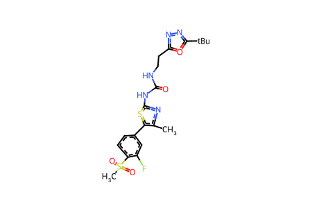 Cc1nc(NC(=O)NCCc2nnc(C(C)(C)C)o2)sc1-c1ccc(S(C)(=O)=O)c(F)c1